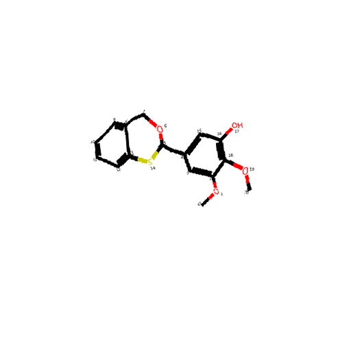 COc1cc(C2OCc3ccccc3S2)cc(O)c1OC